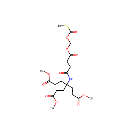 CCSC(=O)OCOC(=O)CCC(=O)NC(CCC(=O)OC(C)(C)C)(CCC(=O)OC(C)(C)C)CCC(=O)OC(C)(C)C